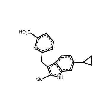 CC(C)(C)c1[nH]c2cc(C3CC3)ccc2c1Cc1cccc(C(=O)O)n1